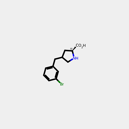 O=C(O)[C@@H]1CC(Cc2cccc(Br)c2)CN1